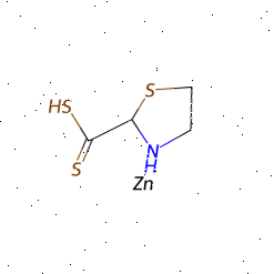 S=C(S)C1NCCS1.[Zn]